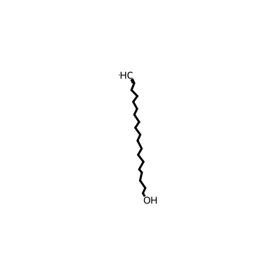 [CH]=CCCCCCCCCCCCCCCCCCO